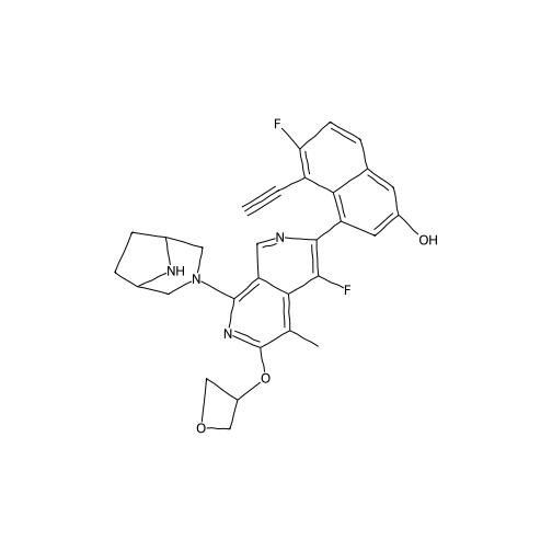 C#Cc1c(F)ccc2cc(O)cc(-c3ncc4c(N5CC6CCC(C5)N6)nc(OC5COC5)c(C)c4c3F)c12